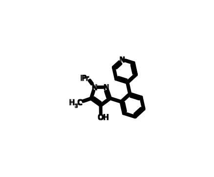 Cc1c(O)c(-c2ccccc2-c2ccncc2)nn1C(C)C